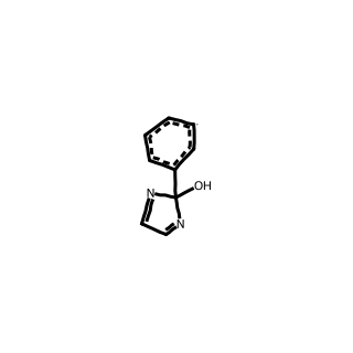 OC1(c2c[c]ccc2)N=CC=N1